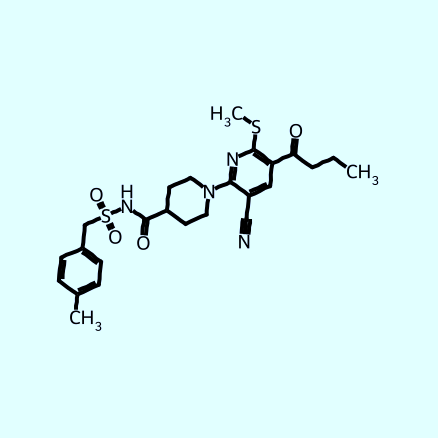 CCCC(=O)c1cc(C#N)c(N2CCC(C(=O)NS(=O)(=O)Cc3ccc(C)cc3)CC2)nc1SC